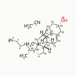 CC#N.CC(C)CCC[C@@H](C)[C@H]1CC[C@H]2[C@@H]3CC=C4C[C@@H](O)CC[C@]4(C)[C@H]3CC[C@]12C